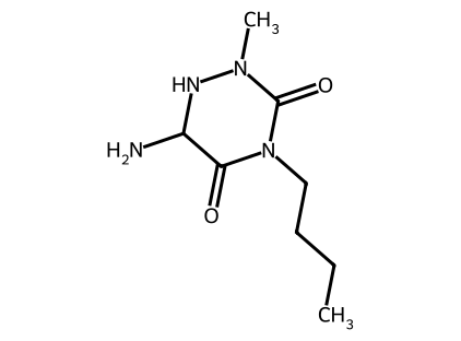 CCCCN1C(=O)C(N)NN(C)C1=O